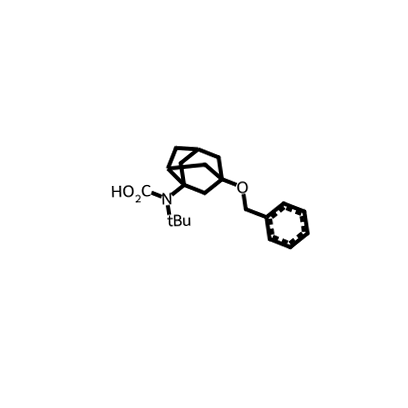 CC(C)(C)N(C(=O)O)C12CC3CC1CC(OCc1ccccc1)(C3)C2